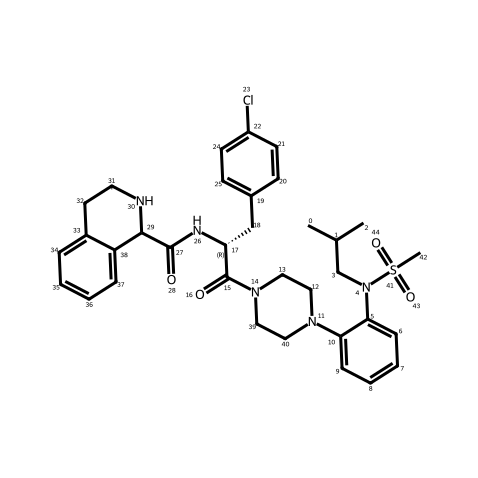 CC(C)CN(c1ccccc1N1CCN(C(=O)[C@@H](Cc2ccc(Cl)cc2)NC(=O)C2N[CH]Cc3ccccc32)CC1)S(C)(=O)=O